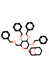 c1ccc(COCC2O[C@@H](CB3C4CCCC3CCC4)[C@@H](OCc3ccccc3)C(OCc3ccccc3)[C@@H]2OCc2ccccc2)cc1